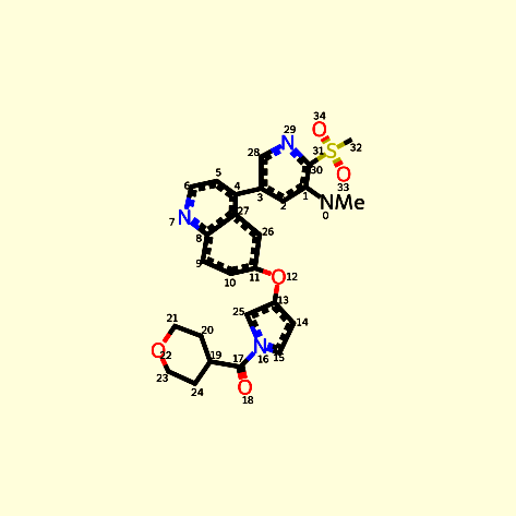 CNc1cc(-c2ccnc3ccc(Oc4ccn(C(=O)C5CCOCC5)c4)cc23)cnc1S(C)(=O)=O